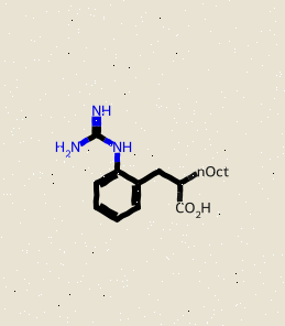 CCCCCCCCC(Cc1ccccc1NC(=N)N)C(=O)O